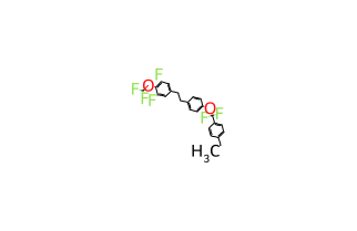 CCc1ccc(C(F)(F)Oc2ccc(CCc3cc(F)c(OC(F)F)c(F)c3)cc2)cc1